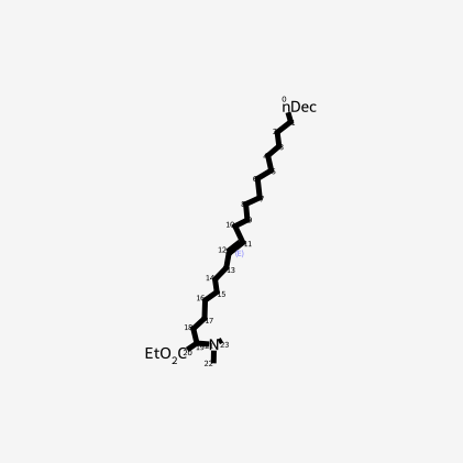 CCCCCCCCCCCCCCCCCCCC/C=C/CCCCCCC(C(=O)OCC)N(C)C